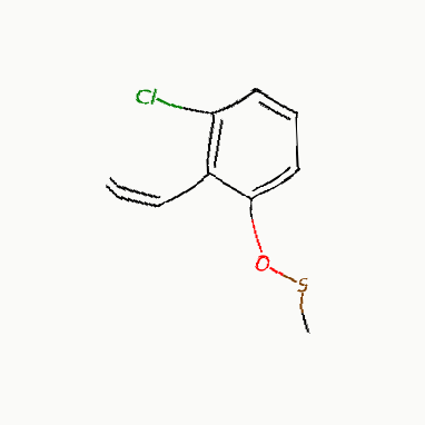 C=Cc1c(Cl)cccc1OSC